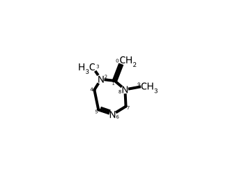 C=C1N(C)CC=NCN1C